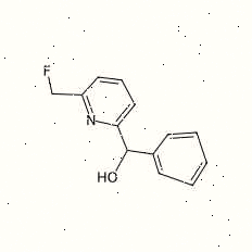 OC(c1ccccc1)c1cccc(CF)n1